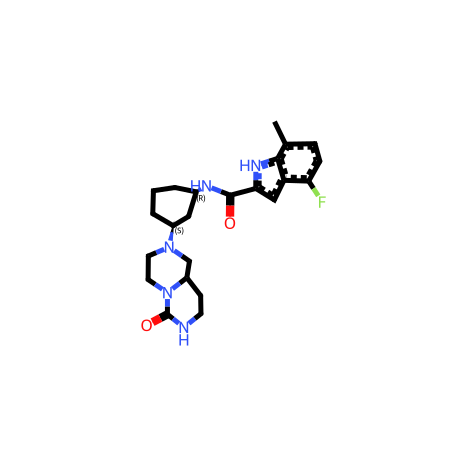 Cc1ccc(F)c2cc(C(=O)N[C@@H]3CCC[C@H](N4CCN5C(=O)NCCC5C4)C3)[nH]c12